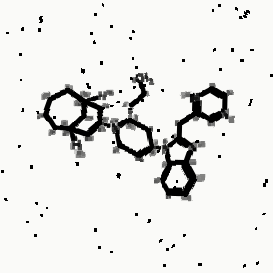 CCC[C@@H]1C[C@H](n2c(Cc3cnccn3)nc3ccccc32)CCN1[C@@H]1C[C@@H]2CCCC[C@@H](C2)C1